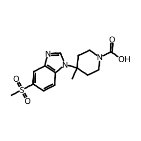 CC1(n2cnc3cc(S(C)(=O)=O)ccc32)CCN(C(=O)O)CC1